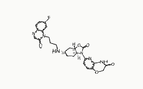 O=C1COc2ccc(N3C(=O)O[C@H]4C[C@@H](NCCCn5c(=O)cnc6ccc(F)cc65)CC[C@@H]43)nc2N1